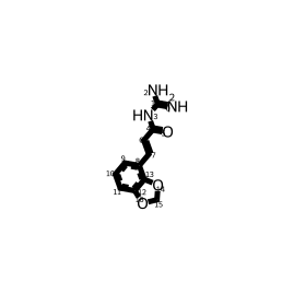 N=C(N)NC(=O)C=Cc1cccc2c1OCO2